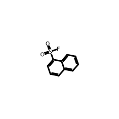 O=S(=O)(F)c1cc[c]c2ccccc12